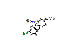 COC1CCC2(CC1)Cc1ccc(Br)cc1C2N=C=S